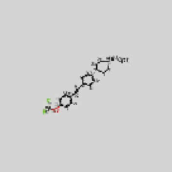 CCCCCCC[C@H]1CC[C@H](c2ccc(C#Cc3ccc(OC(F)F)cc3)cc2)CC1